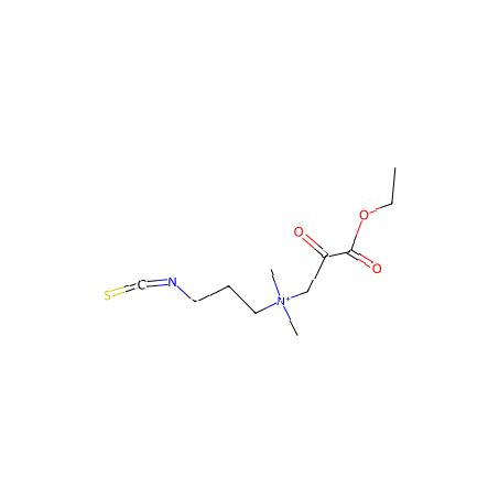 CCOC(=O)C(=O)C[N+](C)(C)CCCN=C=S